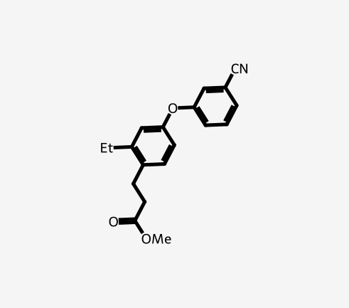 CCc1cc(Oc2cccc(C#N)c2)ccc1CCC(=O)OC